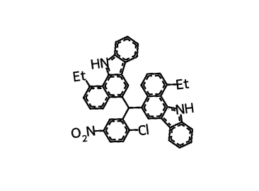 CCc1cccc2c(C(c3cc([N+](=O)[O-])ccc3Cl)c3cc4c5ccccc5[nH]c4c4c(CC)cccc34)cc3c4ccccc4[nH]c3c12